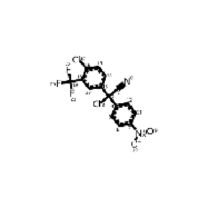 N#CC(Cl)(c1ccc([N+](=O)[O-])cc1)c1ccc(Cl)c(C(F)(F)F)c1